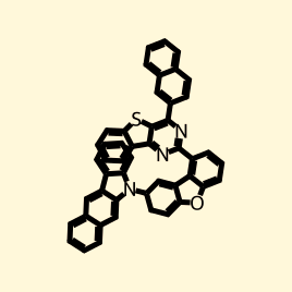 C1=c2oc3cccc(-c4nc(-c5ccc6ccccc6c5)c5sc6ccccc6c5n4)c3c2=CC(n2c3ccccc3c3cc4ccccc4cc32)C1